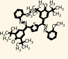 COc1ccccc1/N=N/C(=C1C=C(C(C)(C)C)C(=O)C(C(C)(C)C)=C1)c1ccc(C(/N=N/c2ccccc2OC)=C2C=C(C(C)(C)C)C(=O)C(C(C)(C)C)=C2)s1